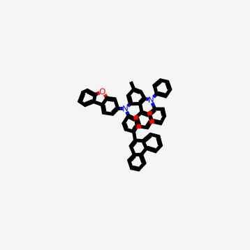 Cc1cc(N(c2ccccc2)c2ccccc2)c(-c2ccccc2)c(N(c2ccc(-c3cc4ccccc4c4ccccc34)cc2)c2ccc3c(c2)oc2ccccc23)c1